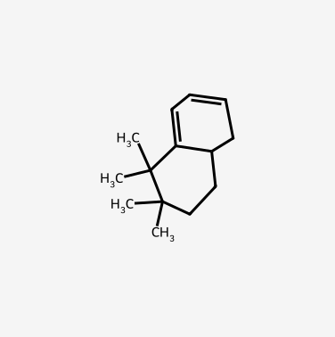 CC1(C)CCC2CC=CC=C2C1(C)C